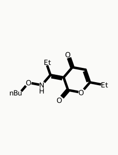 CCCCONC(CC)=C1C(=O)C=C(CC)OC1=O